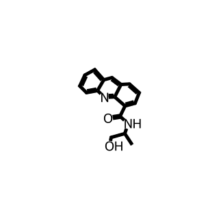 CC(CO)NC(=O)c1cccc2cc3ccccc3nc12